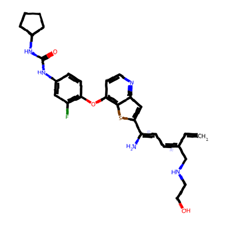 C=C/C(=C\C=C(/N)c1cc2nccc(Oc3ccc(NC(=O)NC4CCCC4)cc3F)c2s1)CNCCO